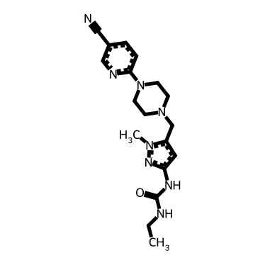 CCNC(=O)Nc1cc(CN2CCN(c3ccc(C#N)cn3)CC2)n(C)n1